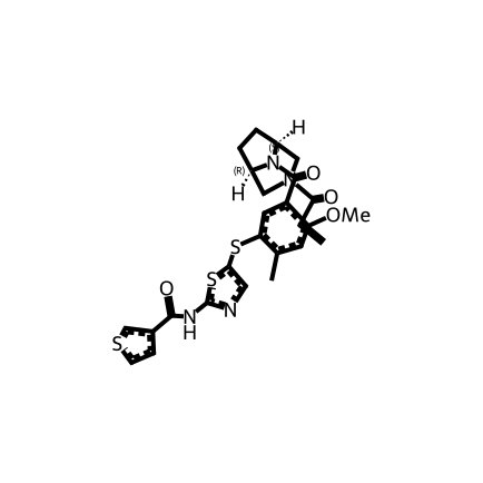 C=CC(=O)N1C[C@H]2CC[C@@H](C1)N2C(=O)c1cc(Sc2cnc(NC(=O)c3ccsc3)s2)c(C)cc1OC